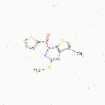 CSc1nc(C(=O)c2cccs2)c2scc(C)c2n1